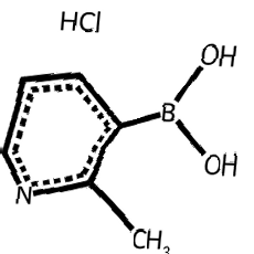 Cc1ncccc1B(O)O.Cl